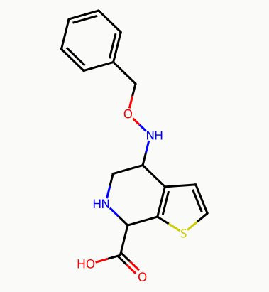 O=C(O)C1NCC(NOCc2ccccc2)c2ccsc21